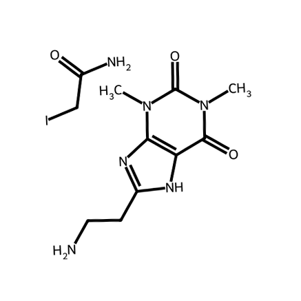 Cn1c(=O)c2[nH]c(CCN)nc2n(C)c1=O.NC(=O)CI